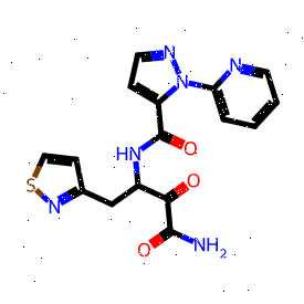 NC(=O)C(=O)C(Cc1ccsn1)NC(=O)c1ccnn1-c1ccccn1